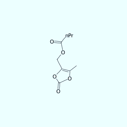 CCCC(=O)OCc1oc(=O)oc1C